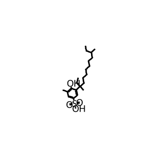 CCC(C)CCCCCCCC(C)(CC)c1cc(S(=O)(=O)O)cc(C)c1O